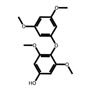 COc1cc(OC)cc(Oc2c(OC)cc(O)cc2OC)c1